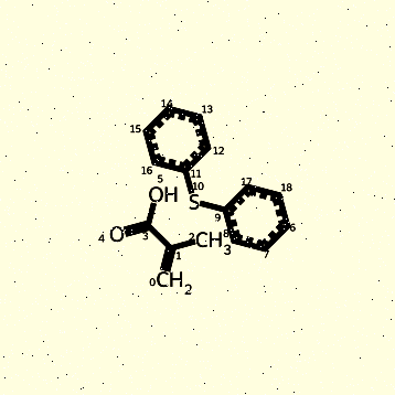 C=C(C)C(=O)O.c1ccc(Sc2ccccc2)cc1